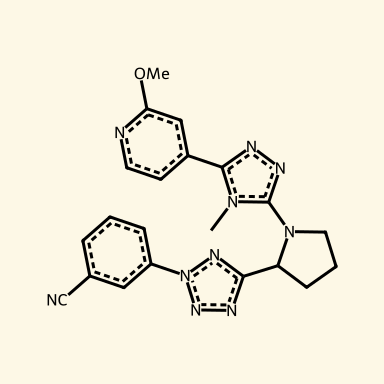 COc1cc(-c2nnc(N3CCCC3c3nnn(-c4cccc(C#N)c4)n3)n2C)ccn1